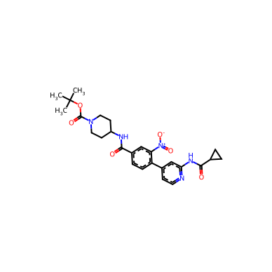 CC(C)(C)OC(=O)N1CCC(NC(=O)c2ccc(-c3ccnc(NC(=O)C4CC4)c3)c([N+](=O)[O-])c2)CC1